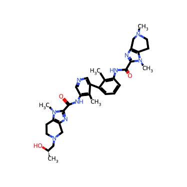 Cc1c(NC(=O)c2nc3c(n2C)CCN(C)C3)cccc1-c1cncc(NC(=O)c2nc3c(n2C)CCN(C[C@H](C)O)C3)c1C